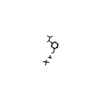 CC(C)C(N)c1cccc(CNC(=O)OC(C)(C)C)c1